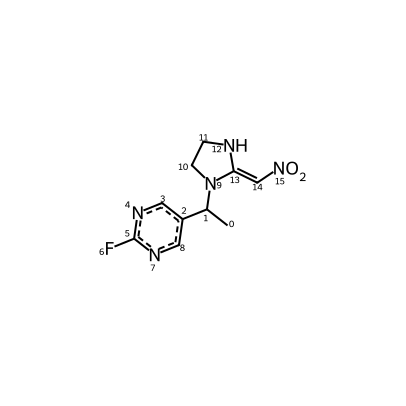 CC(c1cnc(F)nc1)N1CCN/C1=C\[N+](=O)[O-]